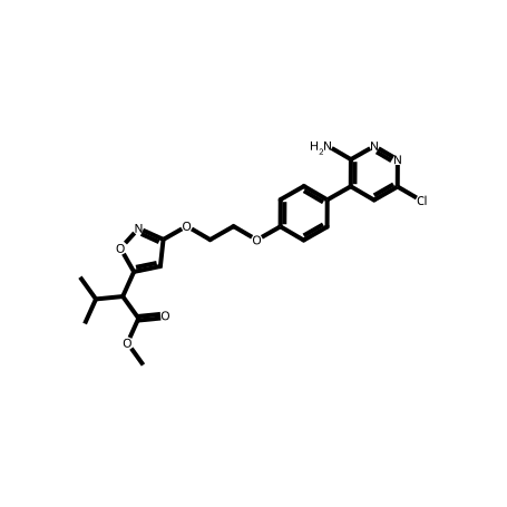 COC(=O)C(c1cc(OCCOc2ccc(-c3cc(Cl)nnc3N)cc2)no1)C(C)C